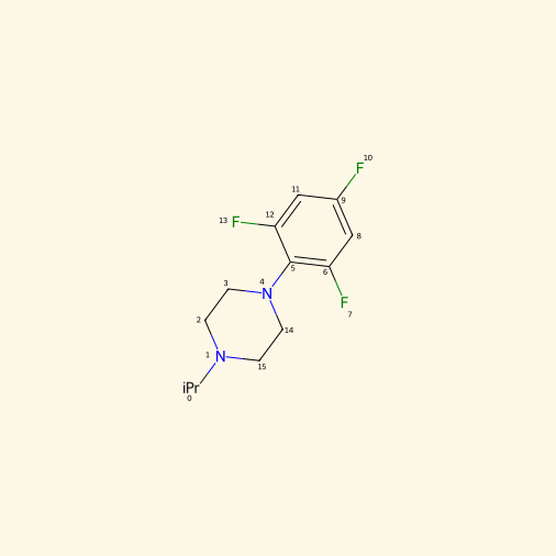 CC(C)N1CCN(c2c(F)cc(F)cc2F)CC1